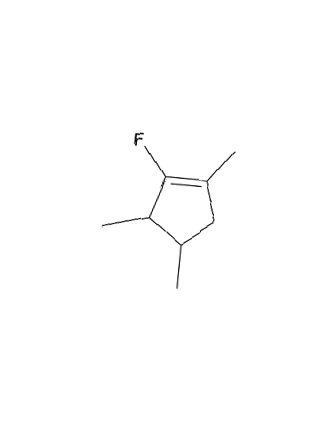 CC1=C(F)C(C)C(C)C1